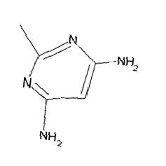 Cc1nc(N)cc(N)n1